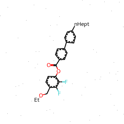 CCCCCCCc1ccc(-c2ccc(C(=O)Oc3ccc(COCC)c(F)c3F)cc2)cc1